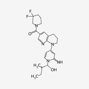 C=C(CC)C(O)n1ccc(N2CCCc3cc(C(=O)N4CCCC(F)(F)C4)cnc32)cc1=N